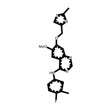 COc1cc2c(Nc3ccc(F)c(C)c3)ncnc2cc1OCc1csc(C)n1